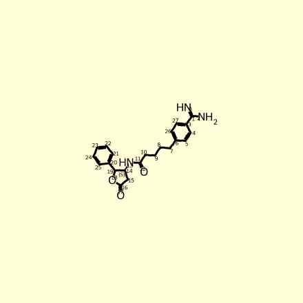 N=C(N)c1ccc(CCCCC(=O)N[C@H]2CC(=O)OC2c2ccccc2)cc1